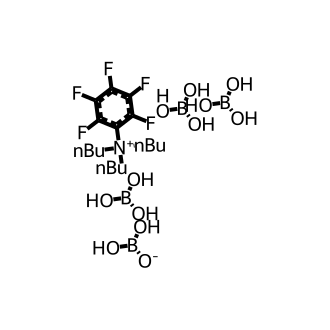 CCCC[N+](CCCC)(CCCC)c1c(F)c(F)c(F)c(F)c1F.OB(O)O.OB(O)O.OB(O)O.[O-]B(O)O